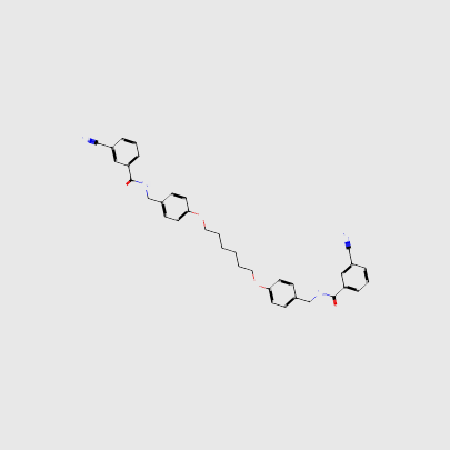 N#Cc1cccc(C(=O)NCc2ccc(OCCCCCCOc3ccc(CNC(=O)c4cccc(C#N)c4)cc3)cc2)c1